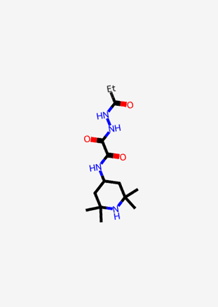 CCC(=O)NNC(=O)C(=O)NC1CC(C)(C)NC(C)(C)C1